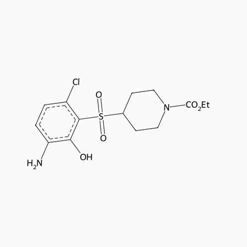 CCOC(=O)N1CCC(S(=O)(=O)c2c(Cl)ccc(N)c2O)CC1